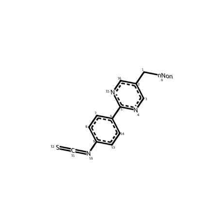 CCCCCCCCCCc1cnc(-c2ccc(N=C=S)cc2)nc1